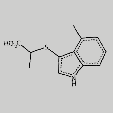 Cc1cccc2[nH]cc(SC(C)C(=O)O)c12